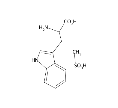 CS(=O)(=O)O.NC(Cc1c[nH]c2ccccc12)C(=O)O